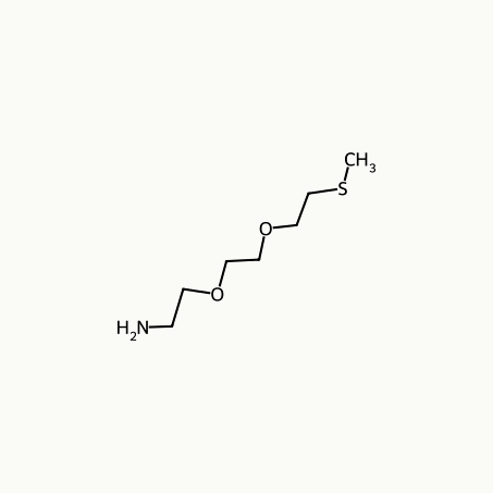 CSCCOCCOCCN